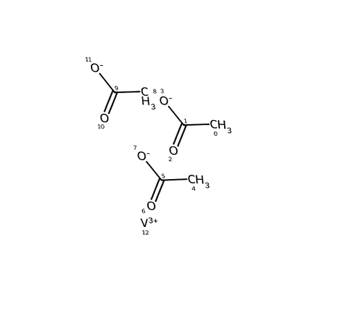 CC(=O)[O-].CC(=O)[O-].CC(=O)[O-].[V+3]